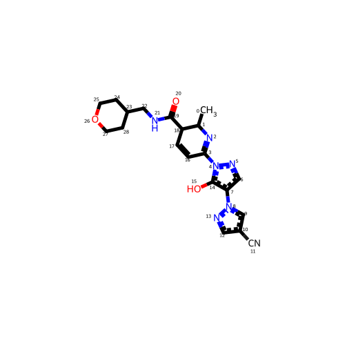 CC1N=C(n2ncc(-n3cc(C#N)cn3)c2O)C=CC1C(=O)NCC1CCOCC1